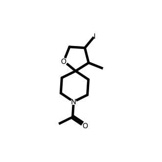 CC(=O)N1CCC2(CC1)OCC(I)C2C